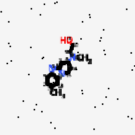 Cc1ccc2nc3cc(N(C)CCO)ccn3c2c1